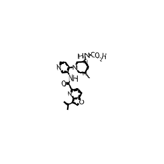 C=C(C)c1coc2ccc(C(=O)Nc3cnccc3N3C[C@H](C)C[C@H](NC(=O)O)C3)nc12